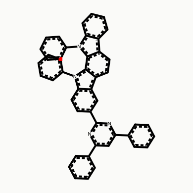 c1ccc(-c2cc(-c3ccccc3)nc(-c3ccc4c(c3)c3ccc5c6ccccc6n(-c6ccccc6)c5c3n4-c3ccccc3)n2)cc1